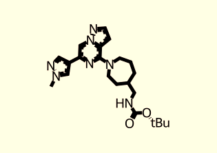 Cn1cc(-c2cn3nccc3c(N3CCCC(CNC(=O)OC(C)(C)C)CC3)n2)cn1